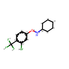 FC(F)(F)c1ccc(ONC2CCCCC2)cc1Br